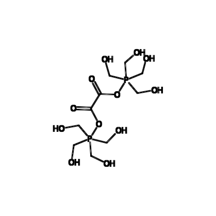 O=C(OP(CO)(CO)(CO)CO)C(=O)OP(CO)(CO)(CO)CO